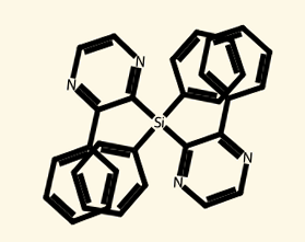 c1ccc(-c2nccnc2[Si](c2ccccc2)(c2ccccc2)c2nccnc2-c2ccccc2)cc1